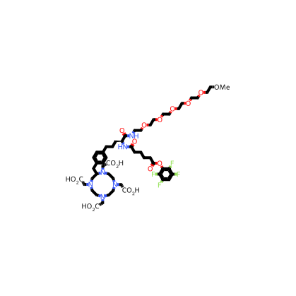 COCCOCCOCCOCCOCCOCCNC(=O)[C@H](CCCc1ccc(CC2CN(CC(=O)O)CCN(CC(=O)O)CCN(CC(=O)O)CCN2CC(=O)O)cc1)NC(=O)CCCCC(=O)Oc1c(F)c(F)cc(F)c1F